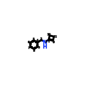 C1=C(NCc2ccccc2)CC1